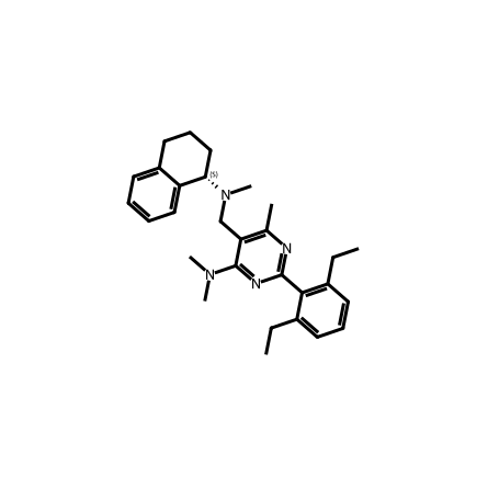 CCc1cccc(CC)c1-c1nc(C)c(CN(C)[C@H]2CCCc3ccccc32)c(N(C)C)n1